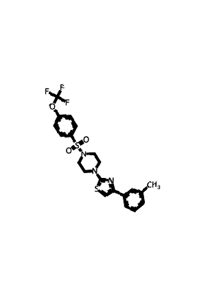 Cc1cccc(-c2csc(N3CCN(S(=O)(=O)c4ccc(OC(F)(F)F)cc4)CC3)n2)c1